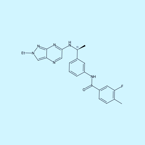 CCn1cc2ncc(N[C@@H](C)c3cccc(NC(=O)c4ccc(C)c(F)c4)c3)nc2n1